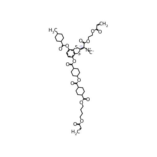 [C-]#[N+]/C(C(=O)OCCOC(=O)C=C)=C1/Sc2c(OC(=O)C3CCC(C)CC3)ccc(OC(=O)C3CCC(OC(=O)C4CCC(C(=O)OCCCCOC(=O)C=C)CC4)CC3)c2S1